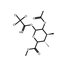 COC(=O)C1OC(OC(=N)C(Cl)(Cl)Cl)C(OC(C)=O)[C@@H](C)[C@@H]1C